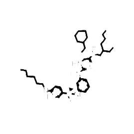 CCCCCCNc1ccc(S(=O)(=O)Nc2cccc(NC(=O)N[C@H](CCC3CCCCC3)C(=O)NCC(CC)CCCC)c2)cn1